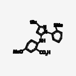 COc1ccc(Nc2cc(C(C)(C)C)nn2-c2ccccc2SC)c(C(=O)O)c1